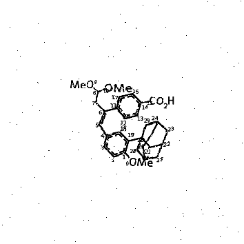 COc1ccc(C=C(CC(OC)OC)c2ccc(C(=O)O)cc2)cc1C12CC3CC(CC(C3)C1)C2